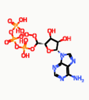 Nc1ncnc2c1ncn2[C@@H]1O[C@H](C(OO)OP(=O)(O)OP(=O)(O)OP(=O)(O)O)[C@@H](O)[C@H]1O